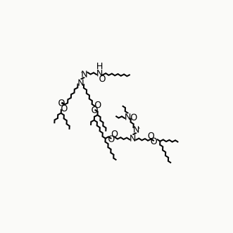 CCCCCCCCCC(=O)NCCCCN(C)CCN(CCCCCCCCC(=O)OCC(CCCC)CCCCCC)CCCCCCCCC(=O)OCC(CCCCCC)CC(CC)CCCCCCC(CCCCCCCC)COC(=O)CCCCCN(CCCCCC(=O)OCC(CCCCCC)CCCCCCCC)CCN(C)CCCC(=O)N(CCCC)CCCC